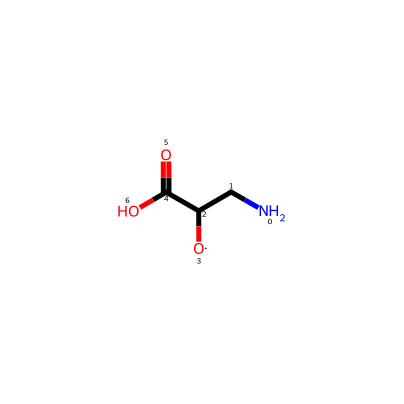 NCC([O])C(=O)O